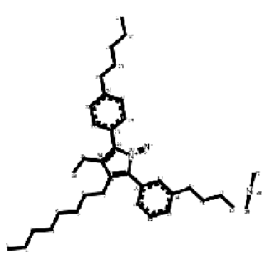 CCCCCCCCC1=C(c2cccc(CCCC)c2)[N+](=[N-])C(c2ccc(CCCCC)cc2)=C1CC.[CH3][Ni][CH3]